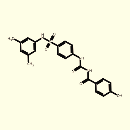 Cc1cc(C)cc(NS(=O)(=O)c2ccc(NC(=S)NC(=O)c3ccc(O)cc3)cc2)c1